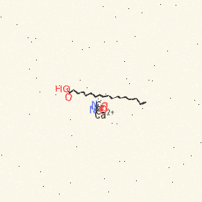 CCCCCCCCCCCCCCCCCC(=O)O.[Ca+2].[N-]=C=O.[N-]=C=O